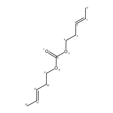 CC=CCCOC(=O)OCCC=CC